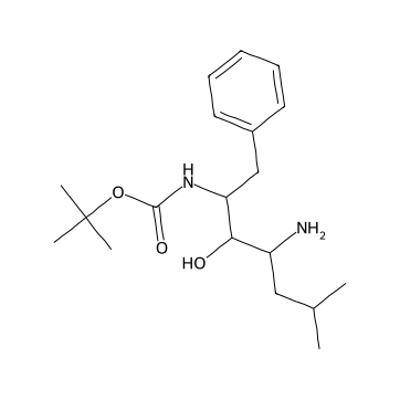 CC(C)CC(N)C(O)C(Cc1ccccc1)NC(=O)OC(C)(C)C